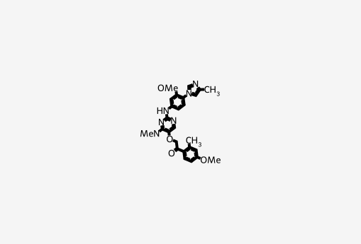 CNc1nc(Nc2ccc(-n3cnc(C)c3)c(OC)c2)ncc1OCC(=O)c1ccc(OC)cc1C